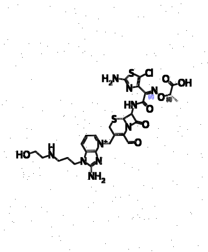 C[C@H](O/N=C(\C(=O)NC1C(=O)N2C(C=O)=C(C[n+]3cccc4c3nc(N)n4CCCNCCO)CSC12)c1nc(N)sc1Cl)C(=O)O